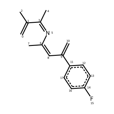 C=C(C)/C(C)=N\C(C)=C/C(=C)c1ccc(F)cc1